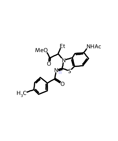 CCC(C(=O)OC)n1/c(=N/C(=O)c2ccc(C)cc2)sc2ccc(NC(C)=O)cc21